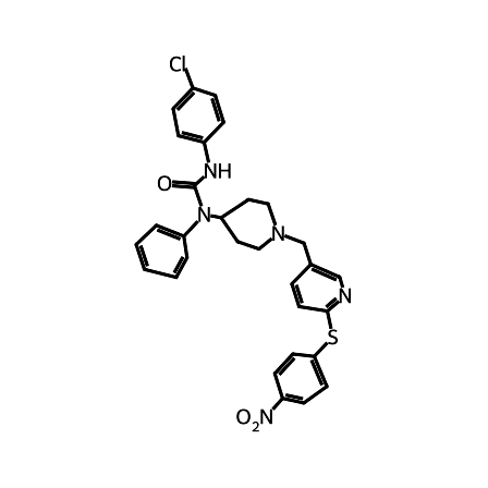 O=C(Nc1ccc(Cl)cc1)N(c1ccccc1)C1CCN(Cc2ccc(Sc3ccc([N+](=O)[O-])cc3)nc2)CC1